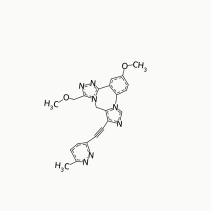 COCc1nnc2n1Cc1c(C#Cc3ccc(C)nn3)ncn1-c1ccc(OC)cc1-2